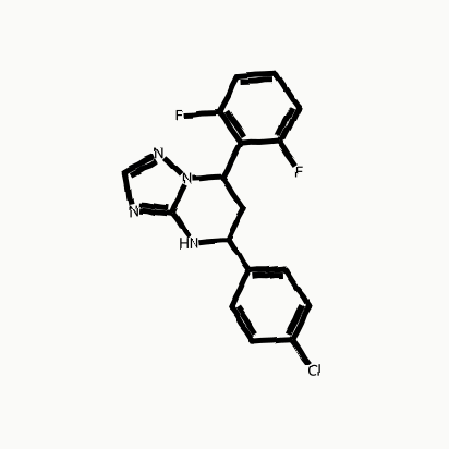 Fc1cccc(F)c1C1CC(c2ccc(Cl)cc2)Nc2ncnn21